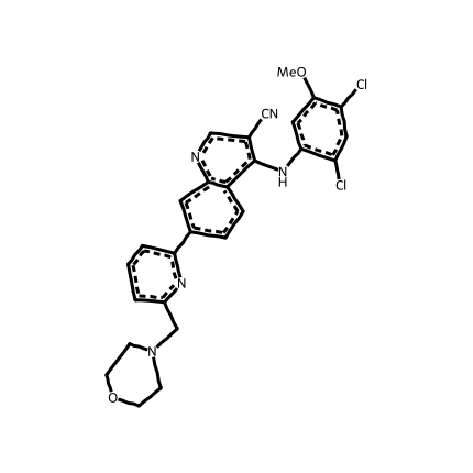 COc1cc(Nc2c(C#N)cnc3cc(-c4cccc(CN5CCOCC5)n4)ccc23)c(Cl)cc1Cl